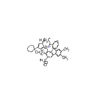 C/[C](c1ccccc1)=[Zr+2](\[C]1=CC(C2(C)CCCCC2)=CC1C)[c]1c(C)c(C)cc2c1Cc1cc(C)c(C)cc1-2.[Cl-].[Cl-]